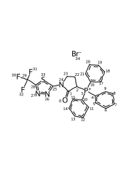 O=C1C([P+](c2ccccc2)(c2ccccc2)c2ccccc2)CCN1c1nnc(C(F)(F)F)s1.[Br-]